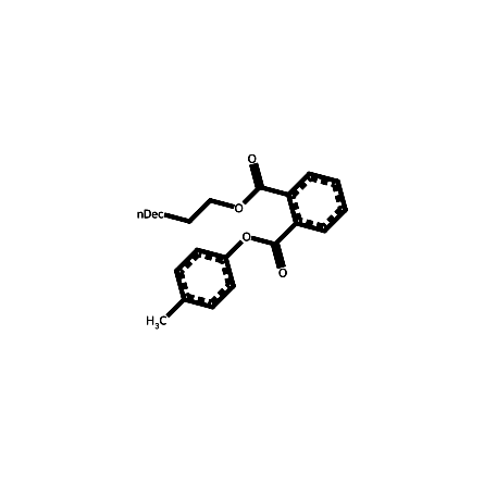 CCCCCCCCCCCCOC(=O)c1ccccc1C(=O)Oc1ccc(C)cc1